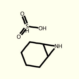 C1CCC2NC2C1.O=[SH](=O)O